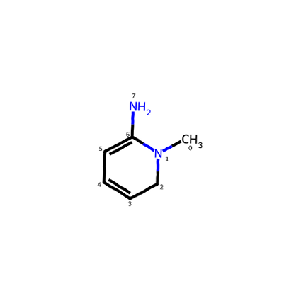 CN1CC=CC=C1N